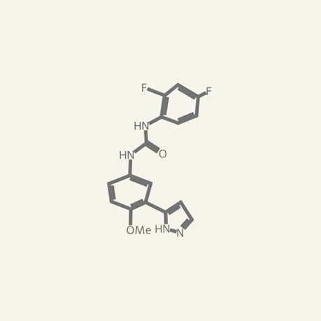 COc1ccc(NC(=O)Nc2ccc(F)cc2F)cc1-c1ccn[nH]1